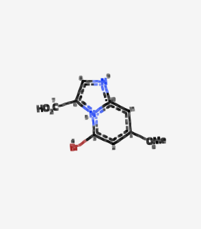 COc1cc(Br)n2c(C(=O)O)cnc2c1